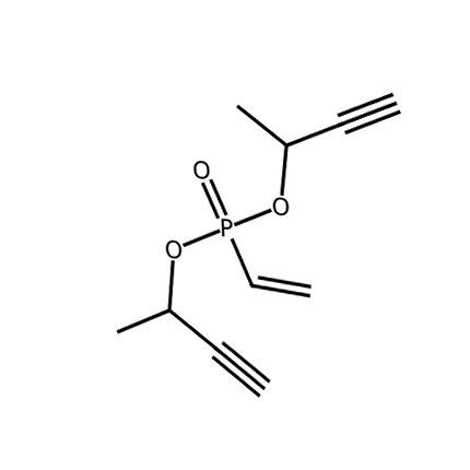 C#CC(C)OP(=O)(C=C)OC(C)C#C